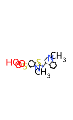 CN1C=C/C(=C\c2sc3ccc(SOOO)cc3[n+]2C)c2ccccc21